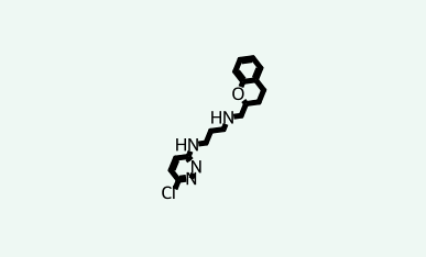 Clc1ccc(NCCCNCC2CCc3ccccc3O2)nn1